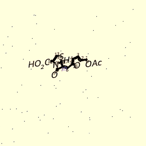 CC(=O)OCc1ccc(/C=C2/C(=O)N3C(C(=O)O)=CS[C@@H]23)o1